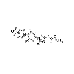 CC(=O)NCC1CN(c2cc(F)c(N3CCC4(CC3)COC4)c(F)c2)C(=O)O1